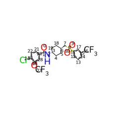 O=C(N[C@H]1CC[C@H](CS(=O)(=O)c2cccc(C(F)(F)F)c2)CC1)c1ccc(Cl)c(OC(F)(F)F)c1